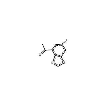 CC(=O)c1cc(F)cc2scnc12